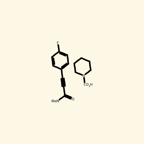 CNC(=O)C#Cc1ccc(F)cc1.O=C(O)N1CCCCC1